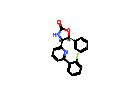 O=C1N[C@H](c2cccc(-c3ccccc3F)n2)[C@@H](c2ccccc2)O1